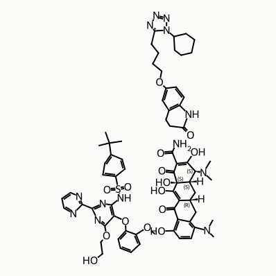 CN(C)c1ccc(O)c2c1C[C@H]1C[C@H]3[C@H](N(C)C)C(O)=C(C(N)=O)C(=O)[C@@]3(O)C(O)=C1C2=O.COc1ccccc1Oc1c(NS(=O)(=O)c2ccc(C(C)(C)C)cc2)nc(-c2ncccn2)nc1OCCO.O=C1CCc2cc(OCCCCc3nnnn3C3CCCCC3)ccc2N1